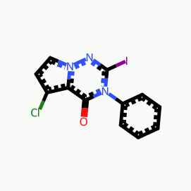 O=c1c2c(Cl)ccn2nc(I)n1-c1ccccc1